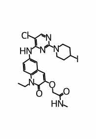 CCn1c(=O)c(OCC(=O)NC)cc2cc(Nc3nc(N4CCC(I)CC4)ncc3Cl)ccc21